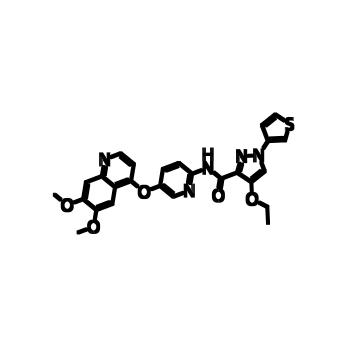 CCOc1cn(-c2ccsc2)nc1C(=O)Nc1ccc(Oc2ccnc3cc(OC)c(OC)cc23)cn1